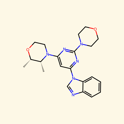 C[C@@H]1OCCN(c2cc(-n3cnc4ccccc43)nc(N3CCOCC3)n2)[C@@H]1C